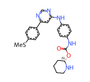 CSc1ccc(-c2cc(Nc3ccc(NC(=O)O[C@H]4CCCCN4)cc3)ncn2)cc1